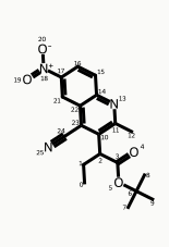 CCC(C(=O)OC(C)(C)C)c1c(C)nc2ccc([N+](=O)[O-])cc2c1C#N